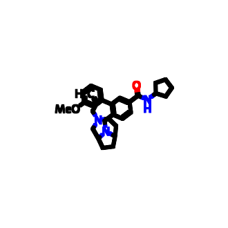 C=CCN1CCC2CCC(C1)N2Cc1ccc(C(=O)NC2CCCC2)cc1-c1cccc(OC)c1